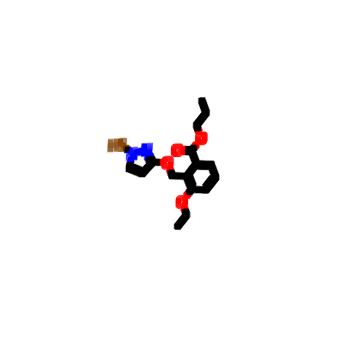 CCCOC(=O)c1cccc(OCC)c1COc1ccn(S)n1